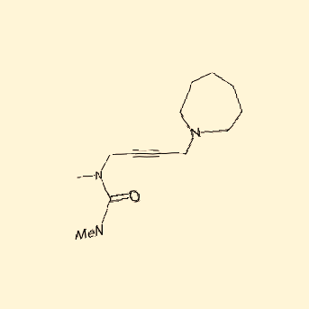 CNC(=O)N(C)CC#CCN1CCCCCC1